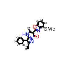 C#Cc1nn2c(=O)c(-c3nc4c(OC)cccc4o3)c(C)[nH]c2c1-c1ccccc1